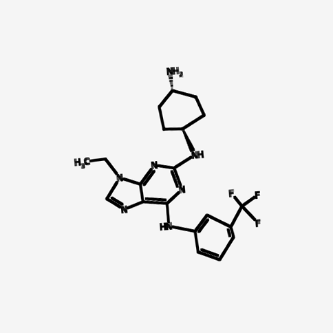 CCn1cnc2c(Nc3cccc(C(F)(F)F)c3)nc(N[C@H]3CC[C@H](N)CC3)nc21